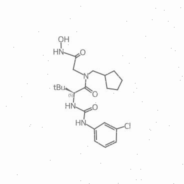 CC(C)(C)[C@H](NC(=O)Nc1cccc(Cl)c1)C(=O)N(CC(=O)NO)CC1CCCC1